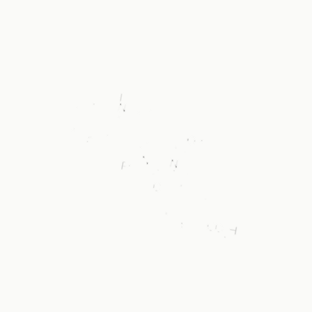 CC(C)n1c(=O)n(Cc2cccc(C(=O)O)c2)c(=O)c2cc(F)c(NC3CCCCC3)cc21